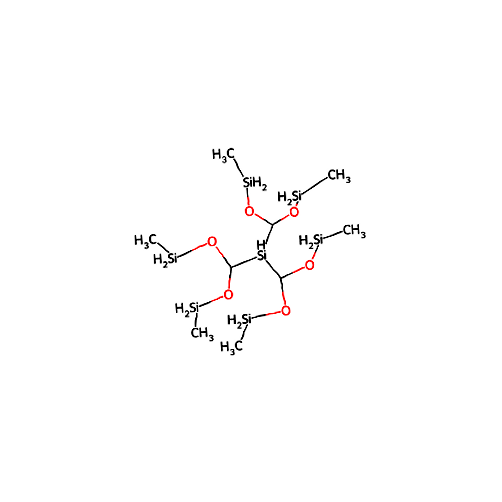 C[SiH2]OC(O[SiH2]C)[SiH](C(O[SiH2]C)O[SiH2]C)C(O[SiH2]C)O[SiH2]C